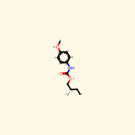 CC[C@H](C)COC(=O)Nc1ccc(OC)cc1